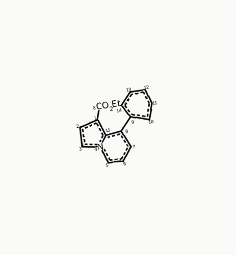 CCOC(=O)c1ccn2cccc(-c3ccccc3)c12